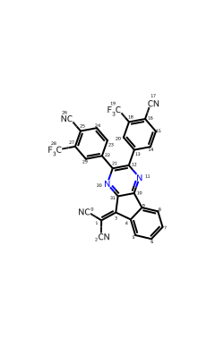 N#CC(C#N)=C1c2ccccc2-c2nc(-c3ccc(C#N)c(C(F)(F)F)c3)c(-c3ccc(C#N)c(C(F)(F)F)c3)nc21